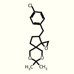 CC1(C)OCC2(CCC(Cc3ccc(Cl)cc3)C23CO3)CO1